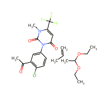 C=CC.CC(=O)c1cc(-n2c(=O)cc(C(F)(F)F)n(C)c2=O)ccc1Cl.CCOC(C)OCC